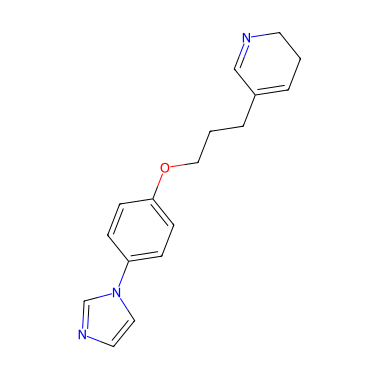 C1=NCCC=C1CCCOc1ccc(-n2ccnc2)cc1